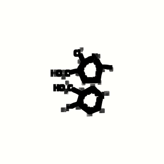 Cc1ccc(C(=O)O)c(Cl)n1.O=C(O)c1cnccc1F